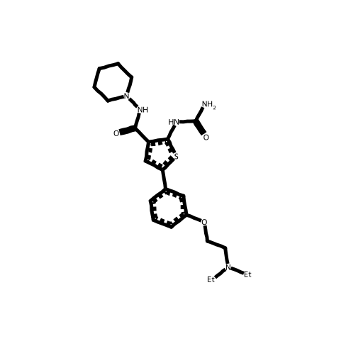 CCN(CC)CCOc1cccc(-c2cc(C(=O)NN3CCCCC3)c(NC(N)=O)s2)c1